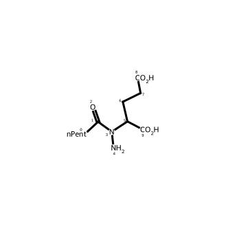 CCCCCC(=O)N(N)C(CCC(=O)O)C(=O)O